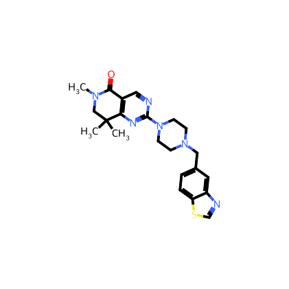 CN1CC(C)(C)c2nc(N3CCN(Cc4ccc5scnc5c4)CC3)ncc2C1=O